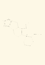 C[C@]1(C2CCC3c4[nH]ncc4CC3C2CO)CCCCC1CO